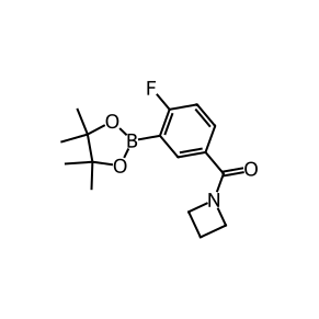 CC1(C)OB(c2cc(C(=O)N3CCC3)ccc2F)OC1(C)C